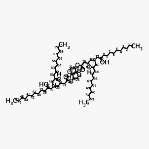 CCCCCCCCCCC(O)CN(CCCC(=O)O[C@@H]1CO[C@H]2[C@@H]1OC[C@H]2OC(=O)CCCN(CC(O)CCCCCCCCCC)CC(O)CCCCCCCCCC)CC(O)CCCCCCCCCC